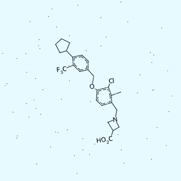 Cc1c(CN2CC(C(=O)O)C2)ccc(OCc2ccc(C3CCCC3)c(C(F)(F)F)c2)c1Cl